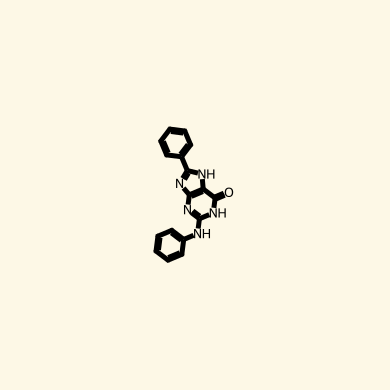 O=c1[nH]c(Nc2ccccc2)nc2nc(-c3ccccc3)[nH]c12